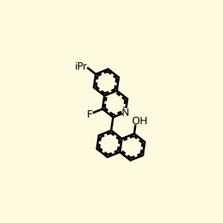 CC(C)c1ccc2cnc(-c3cccc4cccc(O)c34)c(F)c2c1